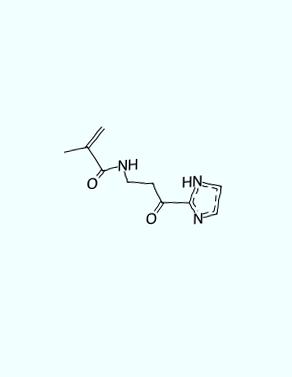 C=C(C)C(=O)NCCC(=O)c1ncc[nH]1